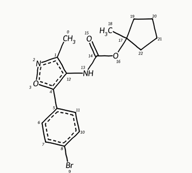 Cc1noc(-c2ccc(Br)cc2)c1NC(=O)OC1(C)CCCC1